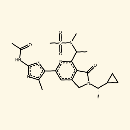 CC(=O)Nc1nc(C)c(-c2cc3c(c(C(C)N(C)S(C)(=O)=O)n2)C(=O)N([C@@H](C)C2CC2)C3)s1